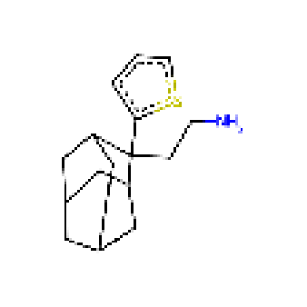 NCCC1(c2cccs2)C2CC3CC(C2)CC1C3